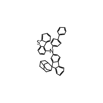 c1ccc(-c2ccc(N(c3ccc4c(c3)C3(c5ccccc5-4)C4CC5CC(C4)CC3C5)c3cccc4sc5ccccc5c34)cc2)cc1